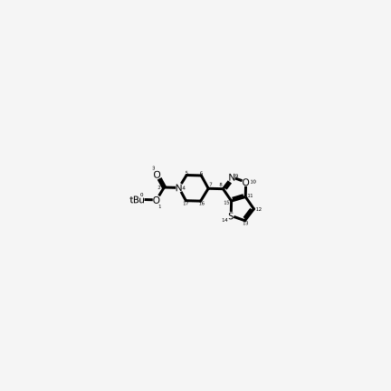 CC(C)(C)OC(=O)N1CCC(c2noc3ccsc23)CC1